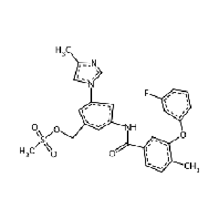 Cc1cn(-c2cc(COS(C)(=O)=O)cc(NC(=O)c3ccc(C)c(Oc4cccc(F)c4)c3)c2)cn1